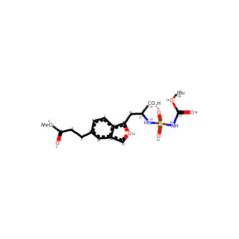 COC(=O)CCc1ccc2c(CC(NS(=O)(=O)NC(=O)OC(C)(C)C)C(=O)O)occ2c1